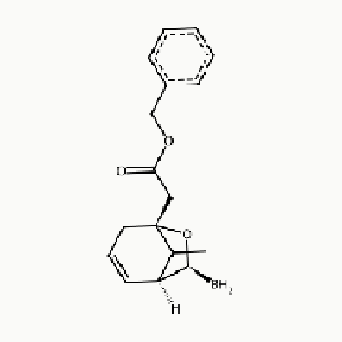 B[C@@H]1O[C@@]2(CC(=O)OCc3ccccc3)CC=C[C@H]1C2C